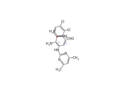 Cc1cc(C)nc(NC(/C=C\c2cccc(Cl)c2Cl)=C(\N)C(C)NC=O)n1